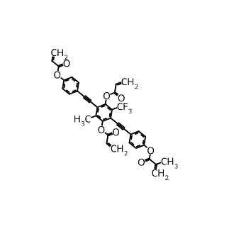 C=CC(=O)Oc1ccc(C#Cc2c(C)c(OC(=O)C=C)c(C#Cc3ccc(OC(=O)C(=C)C)cc3)c(C(F)(F)F)c2OC(=O)C=C)cc1